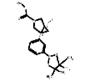 CC(C)(C)OC(=O)N1C[C@H]2C[C@@]2(c2cccc(B3OC(C)(C)C(C)(C)O3)c2)C1